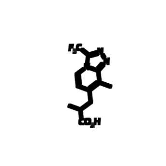 Cc1c(CC(C)C(=O)O)ccn2c(C(F)(F)F)nnc12